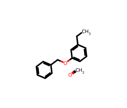 C=O.CCc1cccc(OCc2ccccc2)c1